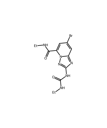 CCNC(=O)Nc1nc2cc(Br)cc(C(=O)NCC)n2n1